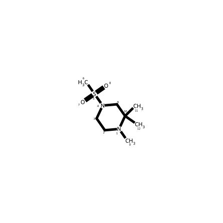 CN1CCN(S(C)(=O)=O)CC1(C)C